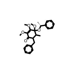 COC1=C(OC)C(OC)(O[C@H](C)c2ccccc2)C(C)C(Cc2ccccc2)C1=O